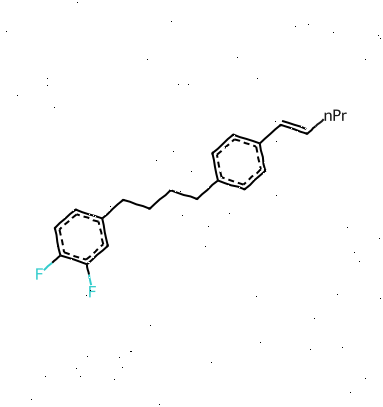 CCCC=Cc1ccc(CCCCc2ccc(F)c(F)c2)cc1